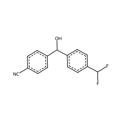 N#Cc1ccc(C(O)c2ccc(C(F)F)cc2)cc1